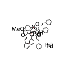 COC1=CC=C2N=C(C(=Cc3ccccc3)C(=O)C=Cc3ccccc3)C(O)(C(=Cc3ccccc3)C(=O)C=Cc3ccccc3)C(C=O)=C2C1(F)C(=Cc1ccccc1)C(=O)C=Cc1ccccc1.[Pd].[Pd]